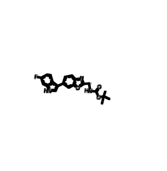 CC(C)(C)OC(=O)N[CH]c1nc2ccc(-c3c[nH]c4cc(F)ccc34)cc2o1